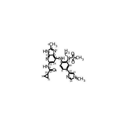 Cc1nc2c(Nc3ccc(-c4cn(C)cn4)cc3N(C)S(C)(=O)=O)cc(NC(=O)C3CC3)nc2[nH]1